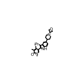 Cc1c(-c2[nH]c3ccc(C4CCN(C5COC5)CC4)cc3c2C(C)C)cn(C)c(=O)c1C